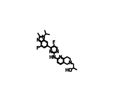 Cc1nc2c(F)cc(-c3nc(Nc4ccc5c(n4)CCN(CC(C)O)C5)ncc3F)cc2n1C(C)C